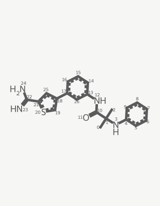 CC(C)(Nc1ccccc1)C(=O)Nc1cccc(-c2csc(C(=N)N)c2)c1